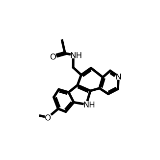 COc1ccc2c(c1)[nH]c1c3ccncc3cc(CNC(C)=O)c21